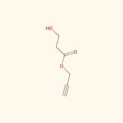 C#CCOC(=O)CCO